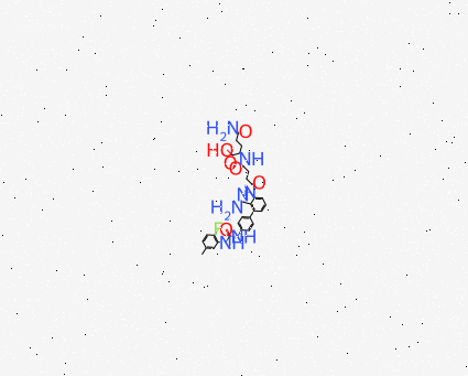 Cc1ccc(F)c(NC(=O)Nc2ccc(-c3cccc4c3c(N)nn4C(=O)CCC(=O)NC(CCC(N)=O)C(=O)O)cc2)c1